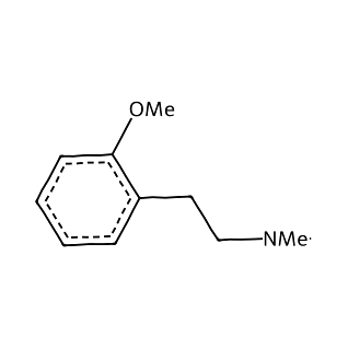 C[N]CCc1ccccc1OC